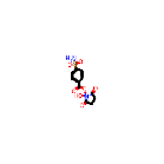 NS(=O)(=O)c1ccc(C(=O)O[N+]2(O)C(=O)CCC2=O)cc1